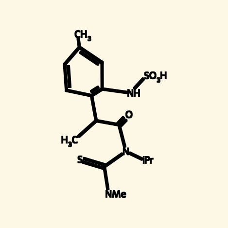 CNC(=S)N(C(=O)C(C)c1ccc(C)cc1NS(=O)(=O)O)C(C)C